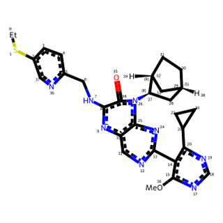 CCSc1ccc(CNc2nc3cnc(-c4c(OC)ncnc4C4CC4)nc3n([C@@H]3C[C@H]4CC[C@@H]3C4)c2=O)nc1